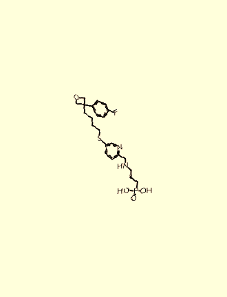 O=P(O)(O)CCCNCc1ccc(SCCCCC2(c3ccc(F)cc3)COC2)cn1